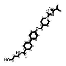 CC(C)c1noc(N2CCC(COc3ccc(C4=CCC(C(=O)NCCCO)CC4)cc3)CC2)n1